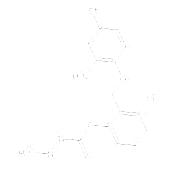 CCc1ccc(OCc2c(OC(=O)N=NC)cccc2C(F)(F)F)c(C)c1